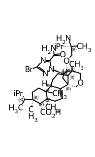 CC(C)[C@@H](C)[C@@]1(C)CC[C@]2(C)[C@H]3CC[C@@H]4[C@@]5(COC[C@@]4(C)[C@@H](OC[C@](C)(N)C(C)C)[C@H](n4nc(Br)nc4C(N)=O)C5)C3=CC[C@@]2(C)[C@@H]1C(=O)O